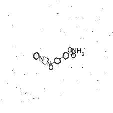 NS(=O)(=O)c1ccc(-c2ccc(C(=O)N3CCN(c4ccccc4)CC3)cc2)cc1